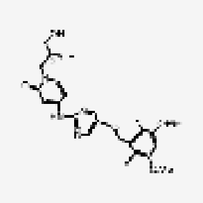 COc1cc(OC)c(F)c(COc2cnc(Nc3ccn(C[C@H](O)CO)c(=O)c3)nc2)c1F